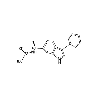 C[C@H](N[S+]([O-])C(C)(C)C)c1ccc2c(-c3ccccc3)c[nH]c2c1